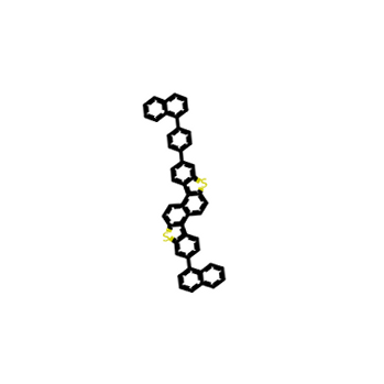 c1ccc2c(-c3ccc(-c4ccc5c(c4)sc4ccc6c(ccc7sc8cc(-c9cccc%10ccccc9%10)ccc8c76)c45)cc3)cccc2c1